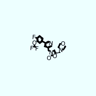 O=C1O[C@H](CN2CCOCC2)CN1Cc1cncc(-c2ccc(F)c(OC(F)F)c2)c1